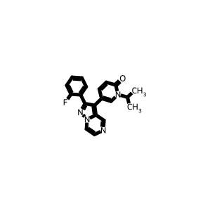 CC(C)n1cc(-c2c(-c3ccccc3F)nn3ccncc23)ccc1=O